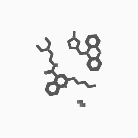 CCCCOc1cc(C(=O)NCCN(CC)CC)c2ccccc2n1.CN1CCC(CN2c3ccccc3Sc3ccccc32)C1.Cl.Cl